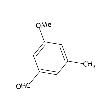 COc1cc(C)[c]c(C=O)c1